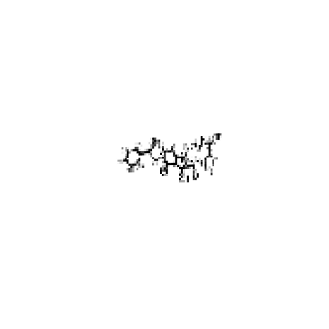 CCc1c(C(=O)N[C@H]2CCCC2C(N)=O)n(C)c2cc(CC)n(CC(=O)c3ccccc3)c(=O)c12